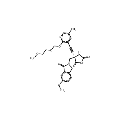 COCCOCOc1ncc(C)cc1C#C[C@]1(CN2Cc3ccc(OC)cc3C2=O)NC(=O)NC1=O